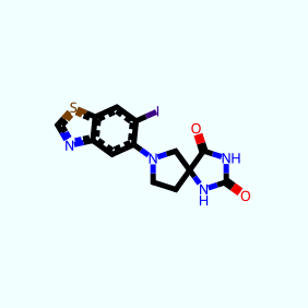 O=C1NC(=O)C2(CCN(c3cc4ncsc4cc3I)C2)N1